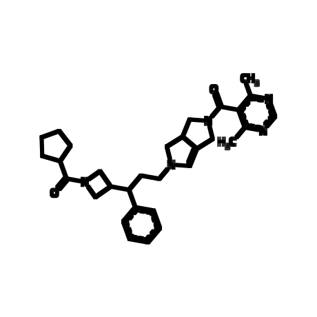 Cc1ncnc(C)c1C(=O)N1CC2=CN(CCC(c3ccccc3)C3CN(C(=O)C4CCCC4)C3)CC2C1